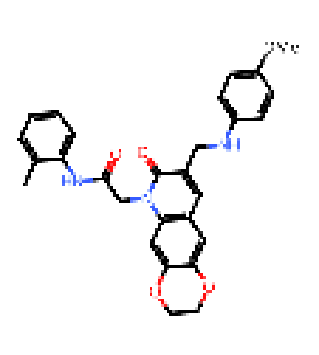 COc1ccc(NCc2cc3cc4c(cc3n(CC(=O)Nc3ccccc3C)c2=O)OCCO4)cc1